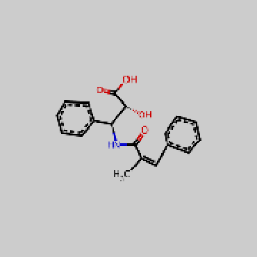 CC(=Cc1ccccc1)C(=O)N[C@@H](c1ccccc1)[C@@H](O)C(=O)O